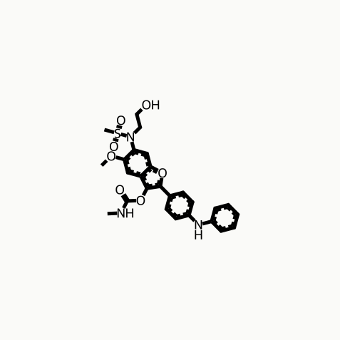 CNC(=O)Oc1c(-c2ccc(Nc3ccccc3)cc2)oc2cc(N(CCO)S(C)(=O)=O)c(OC)cc12